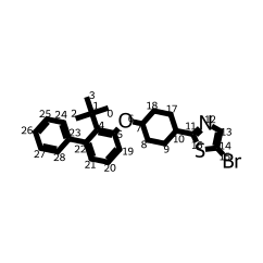 CC(C)(C)c1c(OC2CCC(c3ncc(Br)s3)CC2)cccc1-c1ccccc1